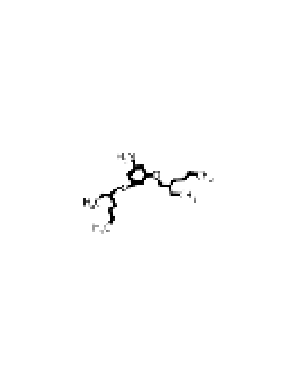 CCCCC(CC)COc1cc(N)cc(OCC(CC)CCCC)c1